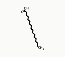 CCCCC/C=C/CC=CCCCCCCCC(=O)O